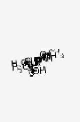 CCNC(=O)Nc1cccc(Cc2nc(C(C)(C)C)sc2C(=O)O)c1